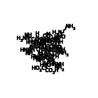 CC(C)C[C@H](NC(=O)[C@H](Cc1ccccc1)NC(=O)CNC(=O)[C@@H](N)CCCCN)C(=O)NCC(=O)NCC(=O)N[C@@H](CCCNC(=N)N)C(=O)N[C@@H](CCCNC(=N)N)C(=O)N[C@@H](CCCNC(=N)N)C(=O)N[C@@H](CCCNC(=N)N)C(=O)N[C@@H](CCCNC(=N)N)C(=O)N[C@@H](CCCNC(=N)N)C(=O)N[C@@H](CCCNC(=N)N)C(=O)N[C@@H](CCCNC(=N)N)C(=O)NCC(=O)N[C@@H](CC(=O)O)C(=O)O